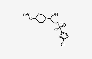 CCCOC1CCC([C@@H](O)CNS(=O)(=O)c2ccc(Cl)s2)CC1